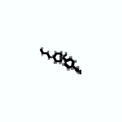 CCCC[C@H]1CC[Si@](C)(c2ccc(C#N)cc2)CC1